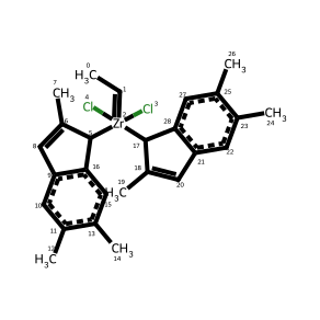 C[CH]=[Zr]([Cl])([Cl])([CH]1C(C)=Cc2cc(C)c(C)cc21)[CH]1C(C)=Cc2cc(C)c(C)cc21